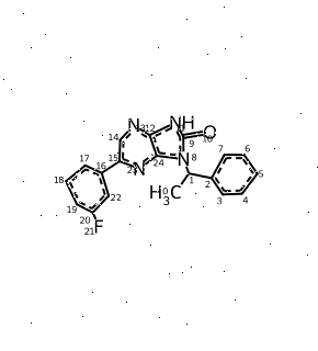 CC(c1ccccc1)n1c(=O)[nH]c2ncc(-c3cccc(F)c3)nc21